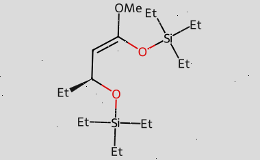 CC[C@@H](/C=C(/OC)O[Si](CC)(CC)CC)O[Si](CC)(CC)CC